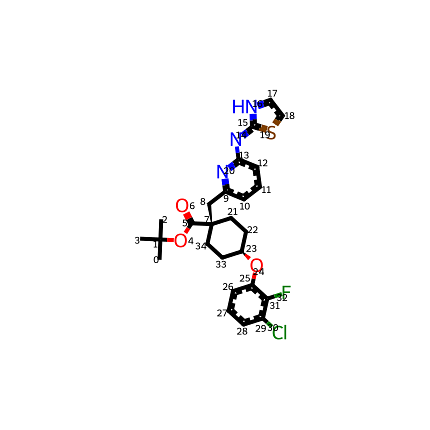 CC(C)(C)OC(=O)[C@]1(Cc2cccc(/N=c3/[nH]ccs3)n2)CC[C@@H](Oc2cccc(Cl)c2F)CC1